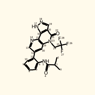 CC(C)C(=O)Nc1ccccc1-c1cnc2c3[nH]ncc3c(=O)n(CC(F)(F)F)c2c1